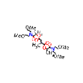 COCCN(CCOC)C(=O)[C@H](C)OC(=O)/C=C(\C)C(=O)O[C@@H](C)C(=O)N(CCOC)CCOC